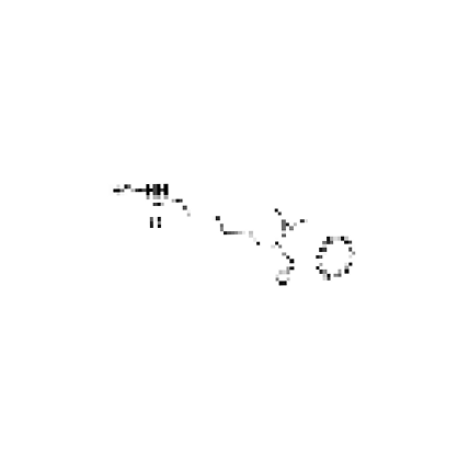 CN(C)N(CCCCCCC(=O)NO)C(=O)c1ccccc1